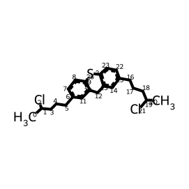 CC(Cl)CCCc1ccc2c(c1)Cc1cc(CCCC(C)Cl)ccc1S2